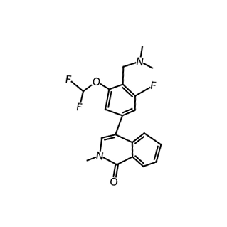 CN(C)Cc1c(F)cc(-c2cn(C)c(=O)c3ccccc23)cc1OC(F)F